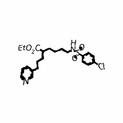 CCOC(=O)C(CCCCNS(=O)(=O)c1ccc(Cl)cc1)CCCc1cccnc1